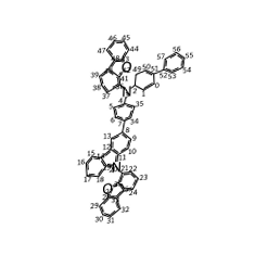 C1=CC(N(c2ccc(-c3ccc4c(c3)c3ccccc3n4-c3cccc4c3oc3ccccc34)cc2)c2cccc3c2oc2ccccc23)CC=C1c1ccccc1